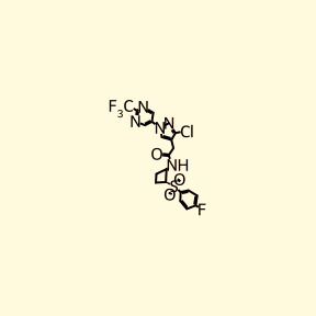 O=C(Cc1cn(-c2cnc(C(F)(F)F)nc2)nc1Cl)N[C@@H]1CC[C@@H]1S(=O)(=O)c1ccc(F)cc1